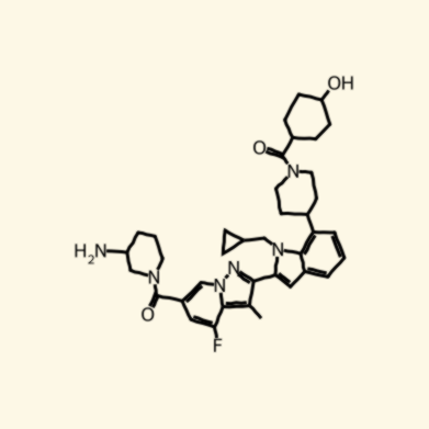 Cc1c(-c2cc3cccc(C4CCN(C(=O)C5CCC(O)CC5)CC4)c3n2CC2CC2)nn2cc(C(=O)N3CCCC(N)C3)cc(F)c12